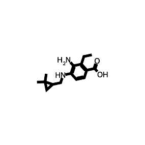 CCc1c(C(=O)O)ccc(NCC2CC2(C)C)c1N